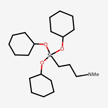 CNCCC[Si](OC1CCCCC1)(OC1CCCCC1)OC1CCCCC1